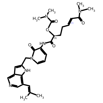 CC(C)=Cc1cncc2cc(Cn3cccc(NC(=O)[C@H](CC/C=C/C(=O)N(C)C)OC(=O)N(C)C)c3=O)[nH]c12